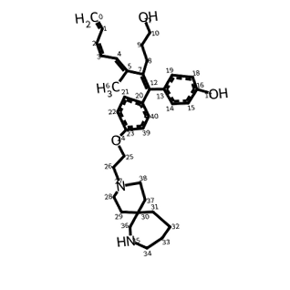 C=C\C=C/C=C(C)/C(CCCO)=C(/c1ccc(O)cc1)c1ccc(OCCN2CCC3(CCCCNC3)CC2)cc1